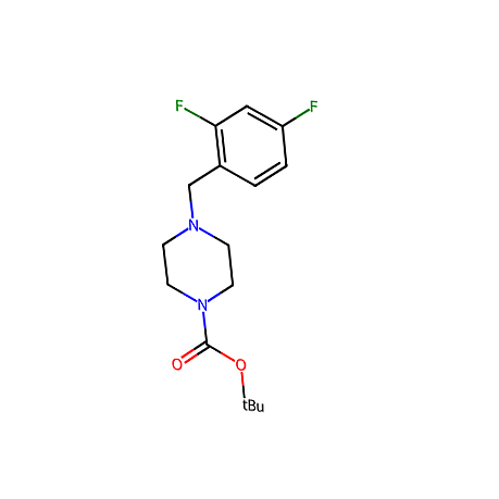 CC(C)(C)OC(=O)N1CCN(Cc2ccc(F)cc2F)CC1